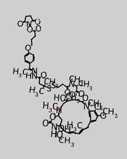 COc1cc2cc(c1Cl)N(C)C(=O)C[C@H](OC(=O)[C@H](C)N(C)C(=O)CCSSC(C)(C)CC(=O)N/N=C(\C)c1ccc(OCCCC(=O)ON3C(=O)CCC3=O)cc1)C(C)(O)C[C@H](C)[C@@H]1C[C@@](O)(NC(=O)O1)[C@H](OC)/C=C/C=C(\C)C2